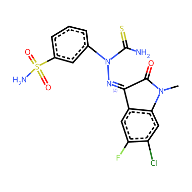 CN1C(=O)/C(=N\N(C(N)=S)c2cccc(S(N)(=O)=O)c2)c2cc(F)c(Cl)cc21